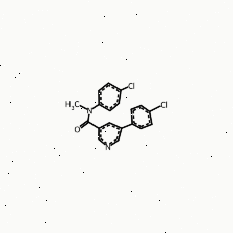 CN(C(=O)c1cncc(-c2ccc(Cl)cc2)c1)c1ccc(Cl)cc1